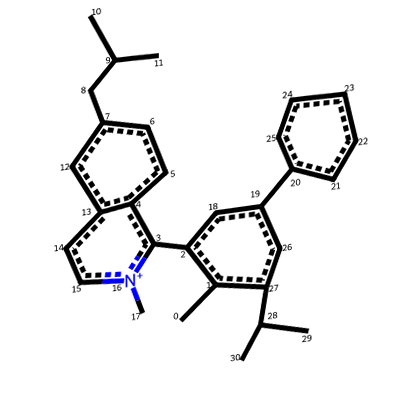 Cc1c(-c2c3ccc(CC(C)C)cc3cc[n+]2C)cc(-c2ccccc2)cc1C(C)C